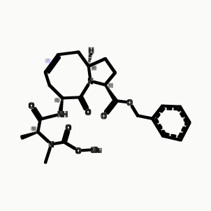 C[C@@H](C(=O)N[C@H]1C/C=C\C[C@H]2CC[C@@H](C(=O)OCc3ccccc3)N2C1=O)N(C)C(=O)OC(C)(C)C